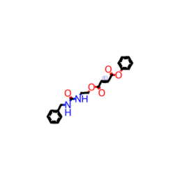 O=C(NCCOC(=O)/C=C/C(=O)Oc1ccccc1)NCc1ccccc1